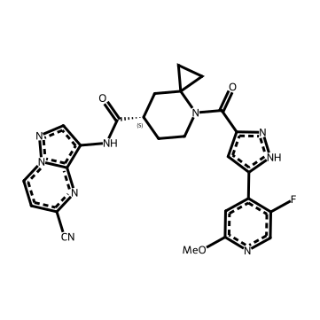 COc1cc(-c2cc(C(=O)N3CC[C@H](C(=O)Nc4cnn5ccc(C#N)nc45)CC34CC4)n[nH]2)c(F)cn1